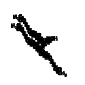 C=CC(=O)OCCCCCCOc1ccc(C(=O)Oc2ccc(/C(=N\N=C\c3cc(OC(=O)c4ccc(OCCCCCCOC(=O)C=C)cc4)ccc3OC(=O)c3ccc(OCCCCCCOC(=O)C=C)cc3)c3ccc(O)cc3)cc2)cc1